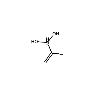 C=C(C)[SiH](O)O